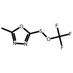 Cc1nnc(SOC(F)(F)F)o1